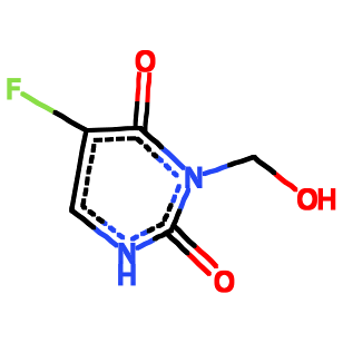 O=c1[nH]cc(F)c(=O)n1CO